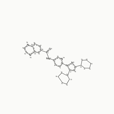 O=C(Nc1ccc(-n2nc(C3CCCCC3)cc2C2CCCCC2)nc1)c1ccc2nccnc2c1